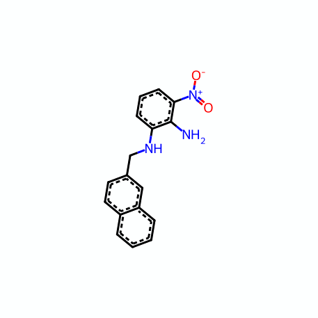 Nc1c(NCc2ccc3ccccc3c2)cccc1[N+](=O)[O-]